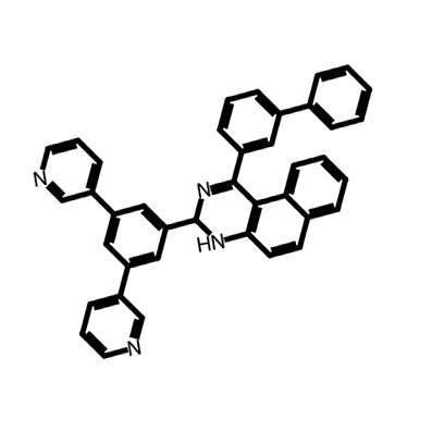 c1ccc(-c2cccc(C3=NC(c4cc(-c5cccnc5)cc(-c5cccnc5)c4)Nc4ccc5ccccc5c43)c2)cc1